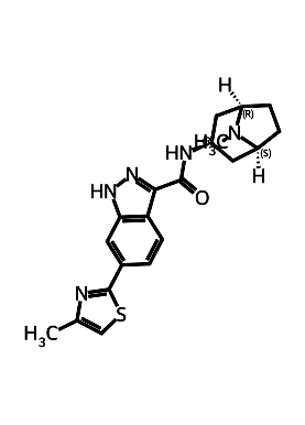 Cc1csc(-c2ccc3c(C(=O)N[C@H]4C[C@H]5CC[C@@H](C4)N5C)n[nH]c3c2)n1